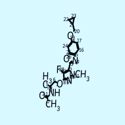 CC(=O)N[C@@H](C)COc1nn(C)c(-c2nc3ccc(OCC4CC4)cc3o2)c1F